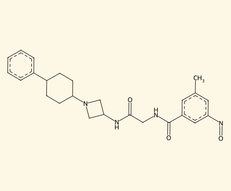 Cc1cc(N=O)cc(C(=O)NCC(=O)NC2CN(C3CCC(c4ccccc4)CC3)C2)c1